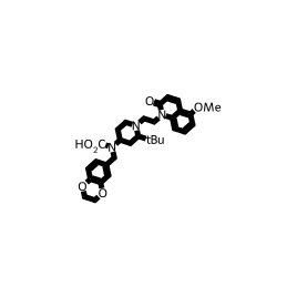 COc1cccc2c1ccc(=O)n2CCN1CCC(N(Cc2ccc3c(c2)OCCO3)C(=O)O)CC1C(C)(C)C